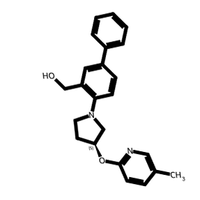 Cc1ccc(O[C@H]2CCN(c3ccc(-c4ccccc4)cc3CO)C2)nc1